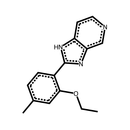 CCOc1cc(C)ccc1-c1nc2cnccc2[nH]1